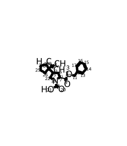 CC(C)(C)C1(C2C[C@@H](C(=O)OCc3ccccc3)N(C(=O)O)C2)CCCC1